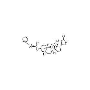 C[C@]12CC[C@H](OC(=O)NCCN3CCCC3)C[C@H]1CC[C@@H]1[C@@H]2C[C@@H](O)[C@]2(C)[C@@H](C3=CC(=O)OC3)CC[C@]12O